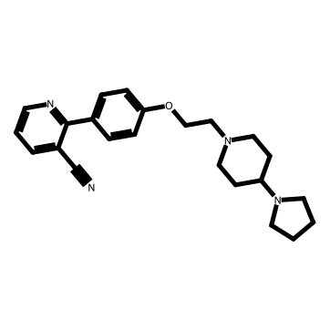 N#Cc1cccnc1-c1ccc(OCCN2CCC(N3CCCC3)CC2)cc1